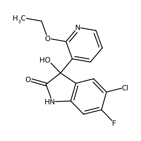 CCOc1ncccc1C1(O)C(=O)Nc2cc(F)c(Cl)cc21